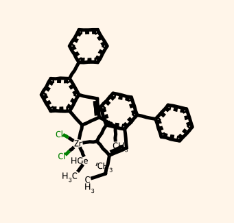 CCC1=Cc2c(-c3ccccc3)cccc2[CH]1[Zr]([Cl])([Cl])([CH]1C(CC)=Cc2c(-c3ccccc3)cccc21)[GeH]([CH3])[CH3]